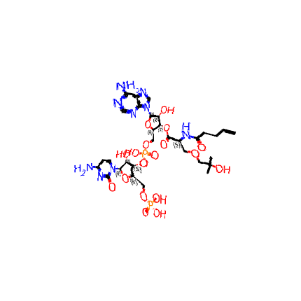 C=CCCC(=O)N[C@@H](COCC(C)(C)O)C(=O)O[C@H]1[C@@H](O)[C@H](n2cnc3c(N)ncnc32)O[C@@H]1COP(=O)(O)O[C@H]1[C@@H](O)[C@H](n2ccc(N)nc2=O)O[C@@H]1COP(=O)(O)O